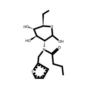 CCCC(=O)N(Cc1cccs1)[C@H]1C(O)O[C@H](CC)[C@@H](O)[C@@H]1O